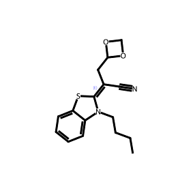 CCCCN1/C(=C(\C#N)CC2OCO2)Sc2ccccc21